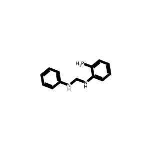 Pc1ccccc1NCNc1ccccc1